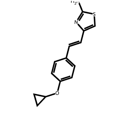 Nc1nc(/C=C/c2ccc(OC3CC3)cc2)cs1